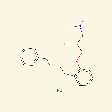 CN(C)CC(O)COc1ccccc1CCCCc1ccccc1.Cl